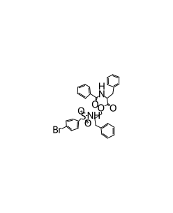 O=C(NC(Cc1ccccc1)C(=O)OCC(Cc1ccccc1)NS(=O)(=O)c1ccc(Br)cc1)c1ccccc1